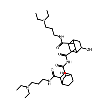 CCN(CC)CCCNC(=O)C1C2CCC(C(O)C2)C1C(=O)NC(=O)C1C2CCC(CC2O)C1C(=O)NCCCN(CC)CC